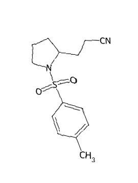 Cc1ccc(S(=O)(=O)N2CCCC2CCC#N)cc1